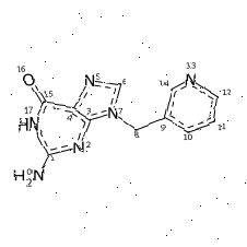 Nc1nc2c(ncn2Cc2cccnc2)c(=O)[nH]1